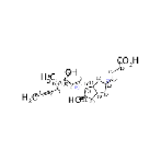 CC#CC[C@H](C)[C@H](O)/C=C/[C@@H]1C2C/C(=C\CCC(=O)O)CC2C[C@H]1O